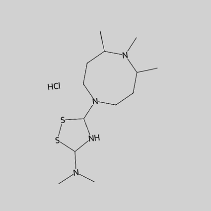 CC1CCN(C2NC(N(C)C)SS2)CCC(C)N1C.Cl